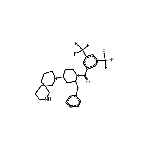 O=C(c1cc(C(F)(F)F)cc(C(F)(F)F)c1)N1CCC(N2CCCC3(CCCNC3)C2)CC1Cc1ccccc1